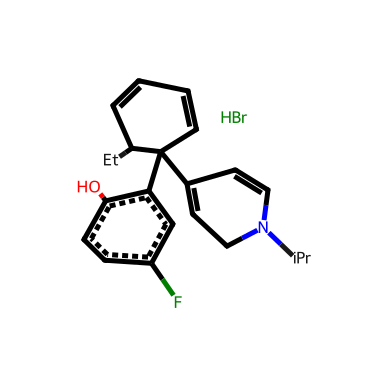 Br.CCC1C=CC=CC1(C1=CCN(C(C)C)C=C1)c1cc(F)ccc1O